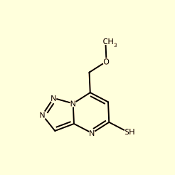 COCc1cc(S)nc2cnnn12